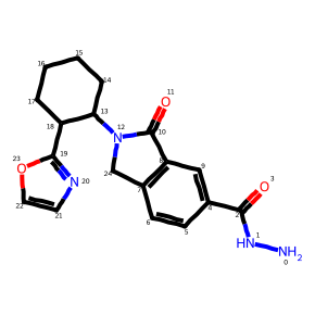 NNC(=O)c1ccc2c(c1)C(=O)N(C1CCCCC1c1ncco1)C2